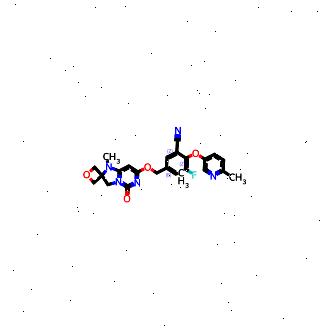 C\C=C(/C=C(C#N)\C(=C\F)Oc1ccc(C)nc1)COc1cc2n(c(=O)n1)CC1(COC1)N2C